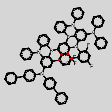 Fc1cc(F)c(N2c3cc(N(c4ccccc4)c4ccccc4)cc4c3B(c3ccccc3N4c3ccccc3)c3cc4c(c(C(F)(F)F)c32)Sc2cc(N(c3ccc(-c5ccccc5)cc3)c3ccc(-c5ccccc5)cc3)cc3c2B4c2ccccc2N3c2ccccc2)c(-c2ccccc2)c1